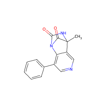 CC12NC(=O)N(C1=O)c1c(-c3ccccc3)cncc12